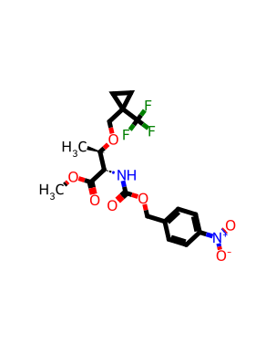 COC(=O)[C@@H](NC(=O)OCc1ccc([N+](=O)[O-])cc1)[C@@H](C)OCC1(C(F)(F)F)CC1